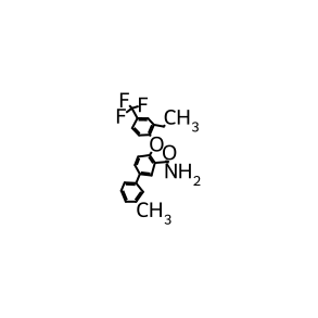 CCc1cc(C(F)(F)F)ccc1Oc1ccc(-c2cccc(C)c2)cc1C(N)=O